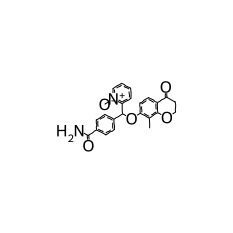 Cc1c(OC(c2ccc(C(N)=O)cc2)c2cccc[n+]2[O-])ccc2c1OCCC2=O